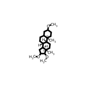 COC1CC[C@@]2(C)C(CC[C@@H]3[C@H]2CC[C@]2(C)C(OC)C(OC)C[C@@H]32)C1